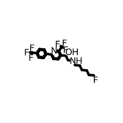 OC(CNCCCCCCF)c1ccc(-c2ccc(C(F)(F)F)cc2)nc1C(F)(F)F